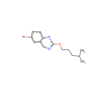 CC(C)CCCOc1ncc2cc(Br)ccc2n1